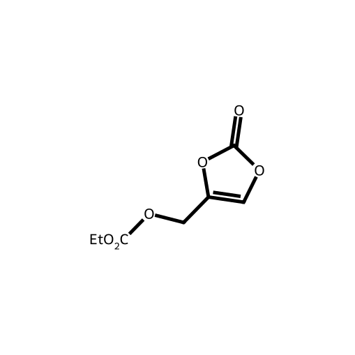 CCOC(=O)OCc1coc(=O)o1